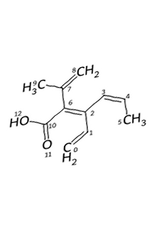 C=CC(/C=C\C)=C(/C(=C)C)C(=O)O